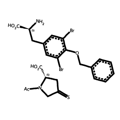 CC(=O)N1CC(=S)C[C@H]1C(=O)O.N[C@@H](Cc1cc(Br)c(OCc2ccccc2)c(Br)c1)C(=O)O